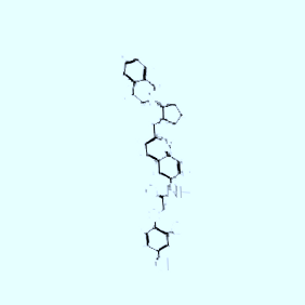 O=C(COc1ccc(Cl)cc1Cl)Nc1ccc2nc(CC3CCCC3N3CCc4ccccc4C3)ccc2c1